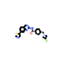 O=C(Nc1ncc2ccc(-c3cncs3)cc2n1)[C@H]1CC[C@H](CN2CC(F)C2)CC1